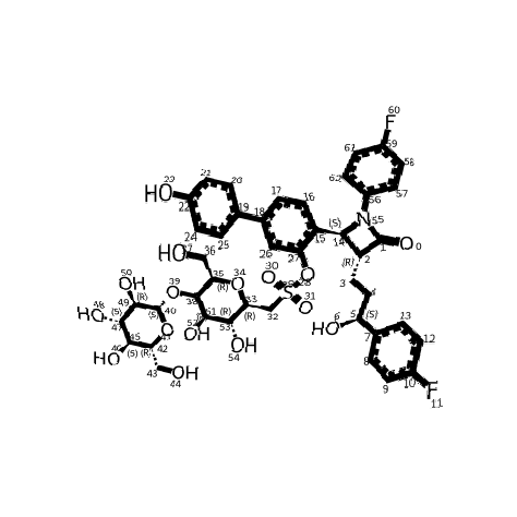 O=C1[C@H](CC[C@H](O)c2ccc(F)cc2)[C@@H](c2ccc(-c3ccc(O)cc3)cc2OS(=O)(=O)C[C@@H]2O[C@H](CO)C(O[C@@H]3O[C@H](CO)[C@@H](O)[C@H](O)[C@H]3O)[C@H](O)[C@H]2O)N1c1ccc(F)cc1